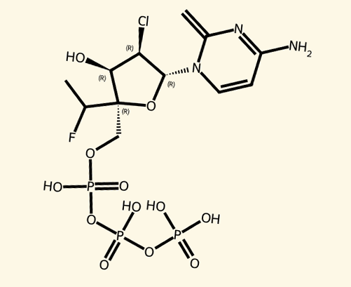 C=C1N=C(N)C=CN1[C@@H]1O[C@@](COP(=O)(O)OP(=O)(O)OP(=O)(O)O)(C(C)F)[C@@H](O)[C@H]1Cl